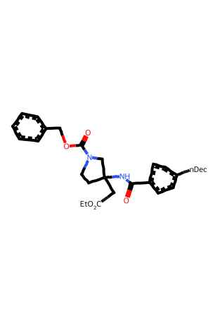 CCCCCCCCCCc1ccc(C(=O)NC2(CC(=O)OCC)CCN(C(=O)OCc3ccccc3)C2)cc1